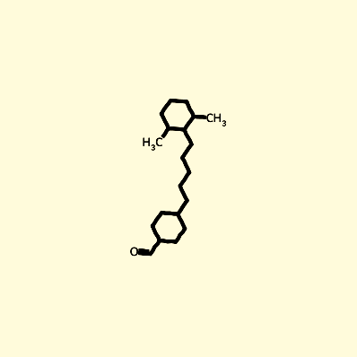 CC1CCCC(C)C1CCCCCC1CCC(C=O)CC1